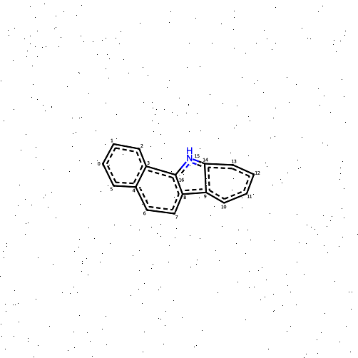 [c]1ccc2c(c1)ccc1c3ccccc3[nH]c21